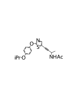 CC(=O)NC(C)C#Cc1cnc(Oc2ccc(OC(C)C)cc2)s1